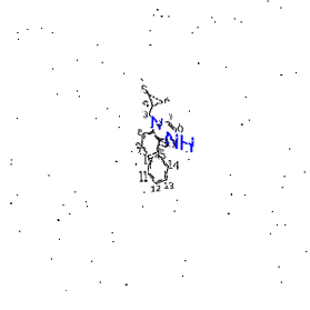 C1=CN(CC2CC2)c2ccc3ccccc3c2N1